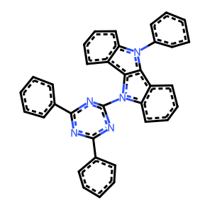 c1ccc(-c2nc(-c3ccccc3)nc(-n3c4ccccc4c4c3c3ccccc3n4-c3ccccc3)n2)cc1